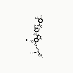 C#CN(CC)CCCOc1cc2ncnc(Nc3cnc(NC(=O)c4ccc(F)c(Cl)c4)nc3)c2cc1OC